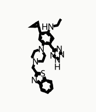 CCNc1cc(-c2nn[nH]n2)c(N2CCN(Cc3nc4ccccc4s3)CC2)cc1C1CC1